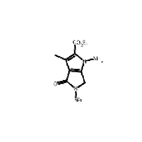 CCCN1Cc2c(c(C)c(C(=O)OCC)n2N)C1=O